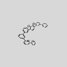 c1ccc(-c2ccc3oc4c(ccc5c6cc(-c7cccc(-c8cccc(-c9ccccn9)n8)c7)ccc6oc54)c3c2)cc1